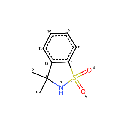 CC1(C)NS(=O)(=O)c2ccccc21